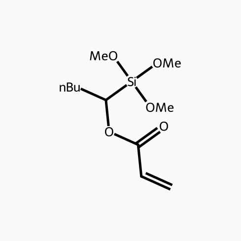 C=CC(=O)OC(CCCC)[Si](OC)(OC)OC